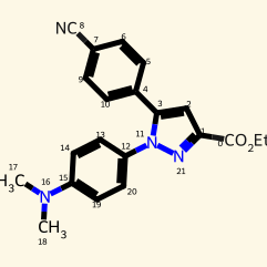 CCOC(=O)c1cc(-c2ccc(C#N)cc2)n(-c2ccc(N(C)C)cc2)n1